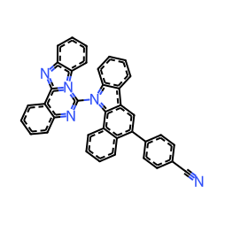 N#Cc1ccc(-c2cc3c4ccccc4n(-c4nc5ccccc5c5nc6ccccc6n45)c3c3ccccc23)cc1